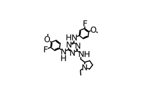 CCN1CCCC1CNc1nc(Nc2ccc(OC)c(F)c2)nc(Nc2ccc(OC)c(F)c2)n1